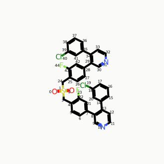 O=S(=O)(Cc1ccc(-c2cnccc2-c2cccc(Cl)c2)cc1F)Cc1ccc(-c2cnccc2-c2cccc(Cl)c2)cc1F